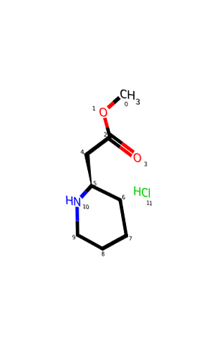 COC(=O)C[C@H]1CCCCN1.Cl